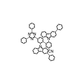 N#Cc1ccc(-n2c3ccccc3c3cc(-c4ccccc4)ccc32)c(-c2ccc(-c3nc(-c4ccccc4)nc(-c4ccccc4)n3)cc2-n2c3ccccc3c3cc(-c4ccccc4)ccc32)c1